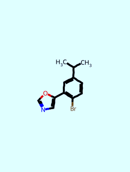 CC(C)c1ccc(Br)c(-c2cnco2)c1